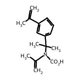 C=C(C)c1cccc(C(C)(C)N(C(=C)C)C(=O)O)c1